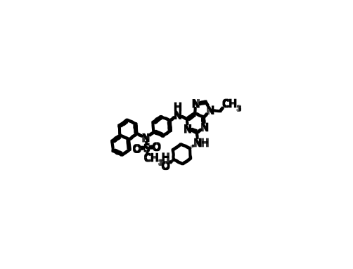 CCn1cnc2c(Nc3ccc(N(c4cccc5ccccc45)S(C)(=O)=O)cc3)nc(N[C@H]3CC[C@H](O)CC3)nc21